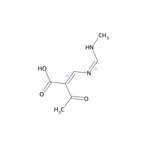 CN/C=N\C=C(/C(C)=O)C(=O)O